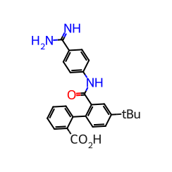 CC(C)(C)c1ccc(-c2ccccc2C(=O)O)c(C(=O)Nc2ccc(C(=N)N)cc2)c1